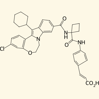 O=C(O)/C=C/c1ccc(NC(=O)C2(NC(=O)c3ccc4c(C5CCCCC5)c5n(c4c3)CCOc3cc(Cl)ccc3-5)CCC2)cc1